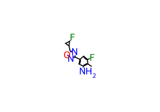 Cc1c(N)cc(-c2noc(C3CC3F)n2)cc1F